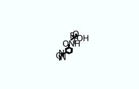 Cc1nc(-c2cccc(C(=O)NCC(F)(F)C(=O)O)c2)no1